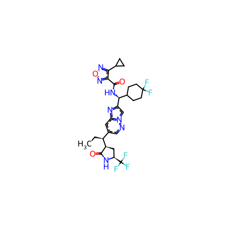 CC[C@@H](c1cnn2cc([C@@H](NC(=O)c3nonc3C3CC3)C3CCC(F)(F)CC3)nc2c1)[C@H]1C[C@@H](C(F)(F)F)NC1=O